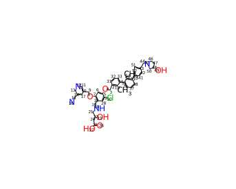 Cc1c(COc2cc(OCc3cncc(C#N)c3)c(CNCC(O)CC(=O)O)cc2Cl)cccc1-c1cccc(-c2ccc(CN3CC[C@H](O)C3)cc2)c1C